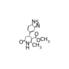 COC(=O)C1=C(C)NC(=O)C[C@H]1c1ccc2nsnc2c1